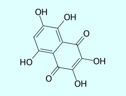 O=C1C(O)=C(O)C(=O)c2c(O)c(O)cc(O)c21